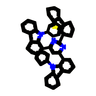 C1=CCC(n2c3ccccc3c3cccc(-c4cc(-c5cccc6c7ccccc7n(-c7ccccc7)c56)nc(-c5cccc6c5sc5ccccc56)n4)c32)C=C1